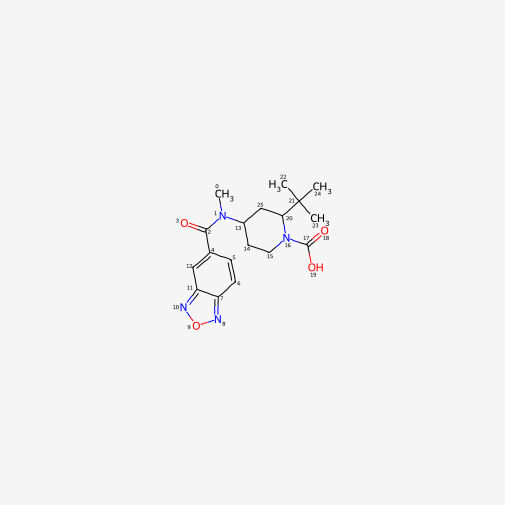 CN(C(=O)c1ccc2nonc2c1)C1CCN(C(=O)O)C(C(C)(C)C)C1